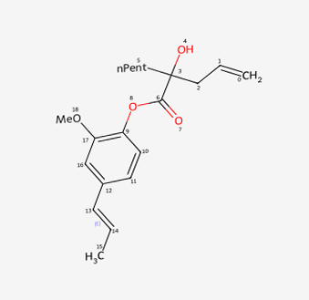 C=CCC(O)(CCCCC)C(=O)Oc1ccc(/C=C/C)cc1OC